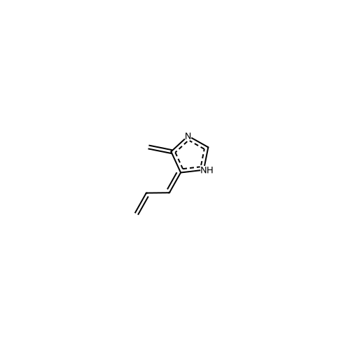 C=C/C=c1/[nH]cnc1=C